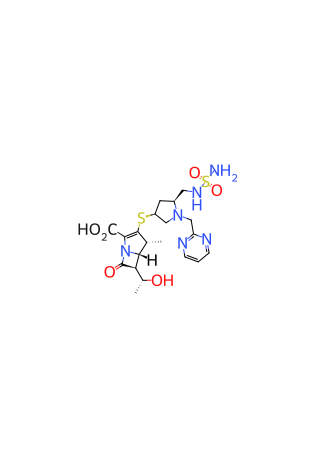 C[C@@H](O)[C@H]1C(=O)N2C(C(=O)O)=C(S[C@H]3C[C@@H](CNS(N)(=O)=O)N(Cc4ncccn4)C3)[C@H](C)[C@H]12